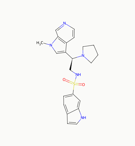 Cn1cc([C@H](CNS(=O)(=O)c2ccc3cc[nH]c3c2)N2CCCC2)c2ccncc21